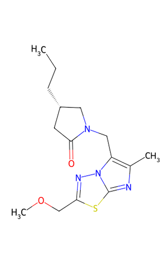 CCC[C@H]1CC(=O)N(Cc2c(C)nc3sc(COC)nn23)C1